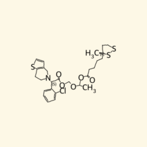 CC(OCOC(=O)[C@H](c1ccccc1Cl)N1CCc2sccc2C1)OC(=O)CCCC[C@]1(C)CCSS1